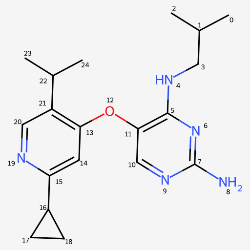 CC(C)CNc1nc(N)ncc1Oc1cc(C2CC2)ncc1C(C)C